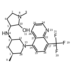 C[C@H]1C[C@@H](NC2CCN(C)C2O)CN(c2ccc(C(F)(F)F)c3ncccc23)C1